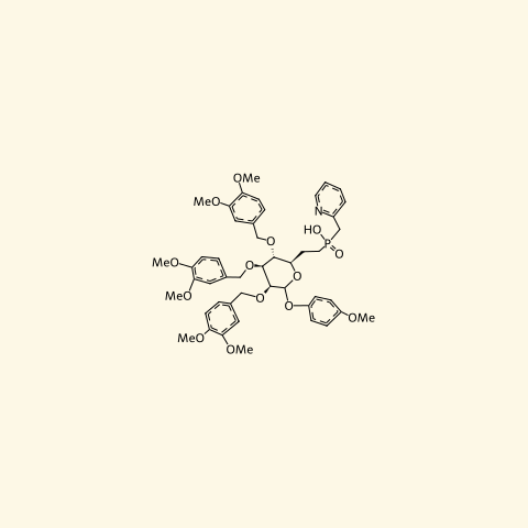 COc1ccc(OC2O[C@H](CCP(=O)(O)Cc3ccccn3)[C@@H](OCc3ccc(OC)c(OC)c3)[C@H](OCc3ccc(OC)c(OC)c3)[C@@H]2OCc2ccc(OC)c(OC)c2)cc1